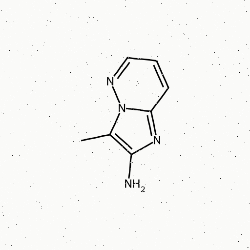 Cc1c(N)nc2cccnn12